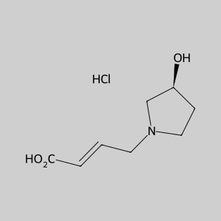 Cl.O=C(O)C=CCN1CC[C@H](O)C1